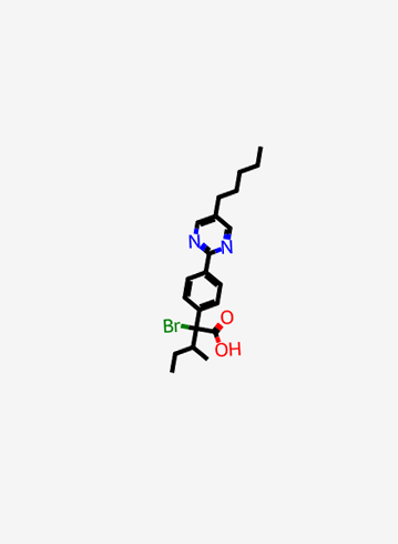 CCCCCc1cnc(-c2ccc(C(Br)(C(=O)O)C(C)CC)cc2)nc1